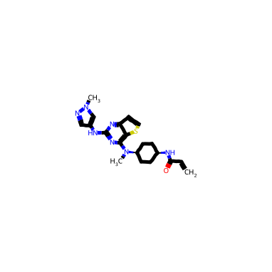 C=CC(=O)N[C@H]1CC[C@@H](N(C)c2nc(Nc3cnn(C)c3)nc3ccsc23)CC1